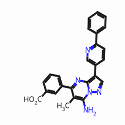 Cc1c(-c2cccc(C(=O)O)c2)nc2c(-c3ccc(-c4ccccc4)nc3)cnn2c1N